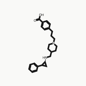 O=C(O)c1ccc(CCCN2CCC(CN[C@@H]3CC3c3ccccc3)CC2)cc1